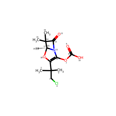 CC(C)(CCl)C1=C(OC(=O)O)N2C(=O)C(C)(C)[C@@H]2O1